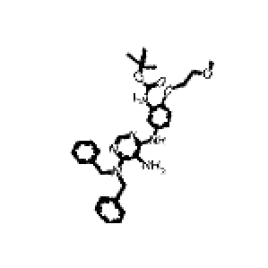 COCCOc1ccc(Nc2ncnc(N(Cc3ccccc3)Cc3ccccc3)c2N)cc1NC(=O)OC(C)(C)C